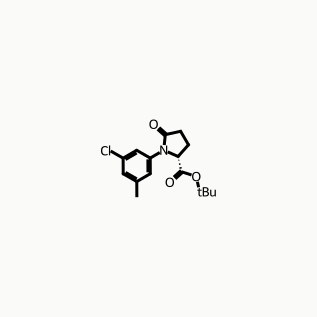 Cc1cc(Cl)cc(N2C(=O)CC[C@@H]2C(=O)OC(C)(C)C)c1